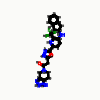 O=C(Cc1nnc(-c2ccc(NC3Cc4ccccc4C3)c(C(F)(F)F)n2)o1)N1CCc2[nH]nnc2C1